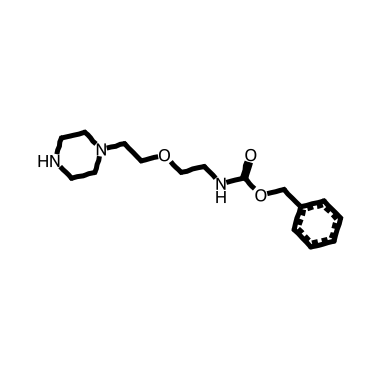 O=C(NCCOCCN1CCNCC1)OCc1ccccc1